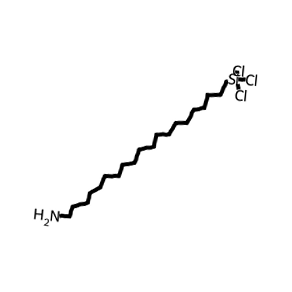 NCCCCCCCCCCCCCCCCCCCC[Si](Cl)(Cl)Cl